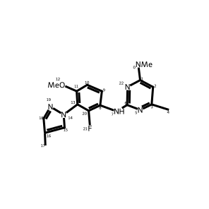 CNc1cc(C)nc(Nc2ccc(OC)c(-n3cc(C)cn3)c2F)n1